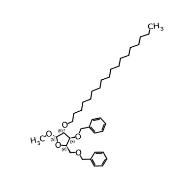 CCCCCCCCCCCCCCCCCCO[C@H]1[C@@H](OC)O[C@H](COCc2ccccc2)[C@@H]1OCc1ccccc1